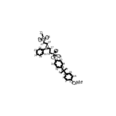 COc1ccc(C(C)(C)c2ccc(OS(=O)(=O)CCN(CCS(C)(=O)=O)c3ccccc3)cc2)cc1